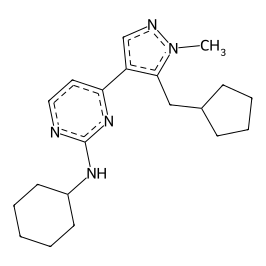 Cn1ncc(-c2ccnc(NC3CCCCC3)n2)c1CC1CCCC1